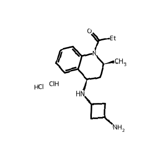 CCC(=O)N1c2ccccc2[C@H](NC2CC(N)C2)C[C@@H]1C.Cl.Cl